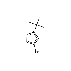 CC(C)(C)n1ccc(Br)c1